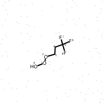 OOOCCC(F)(F)F